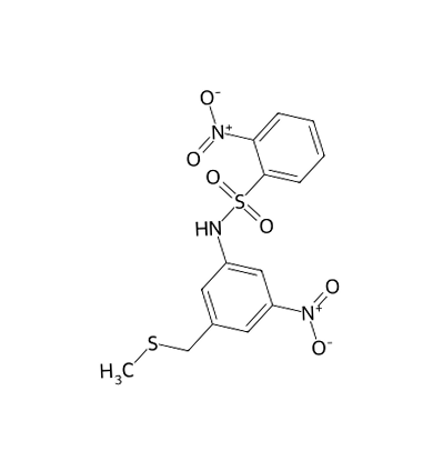 CSCc1cc(NS(=O)(=O)c2ccccc2[N+](=O)[O-])cc([N+](=O)[O-])c1